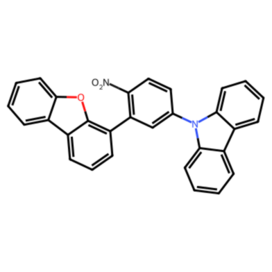 O=[N+]([O-])c1ccc(-n2c3ccccc3c3ccccc32)cc1-c1cccc2c1oc1ccccc12